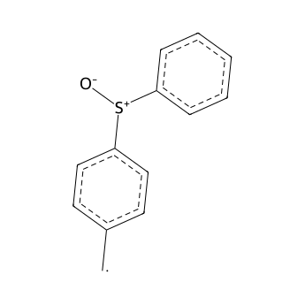 [CH2]c1ccc([S+]([O-])c2ccccc2)cc1